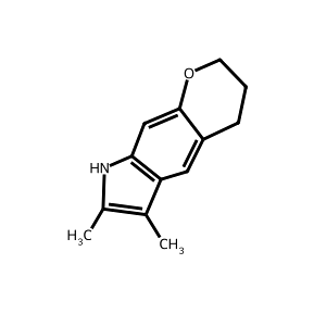 Cc1[nH]c2cc3c(cc2c1C)CCCO3